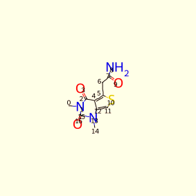 Cn1c(=O)c2c(CC(N)=O)scc2n(C)c1=O